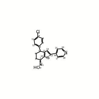 ON=C1CCC(c2ccc(Cl)cc2)c2cc(-c3ccncc3)sc21